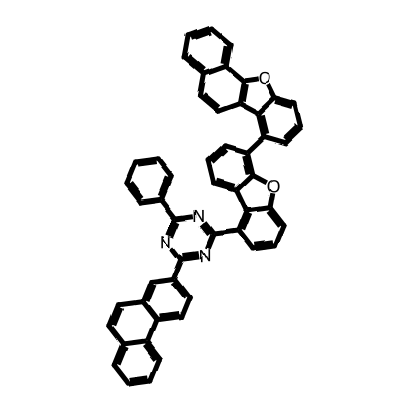 c1ccc(-c2nc(-c3ccc4c(ccc5ccccc54)c3)nc(-c3cccc4oc5c(-c6cccc7oc8c9ccccc9ccc8c67)cccc5c34)n2)cc1